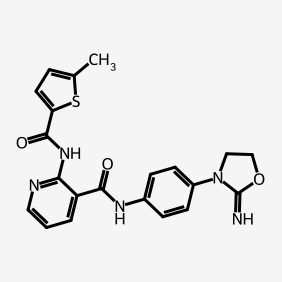 Cc1ccc(C(=O)Nc2ncccc2C(=O)Nc2ccc(N3CCOC3=N)cc2)s1